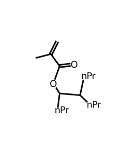 C=C(C)C(=O)OC(CCC)C(CCC)CCC